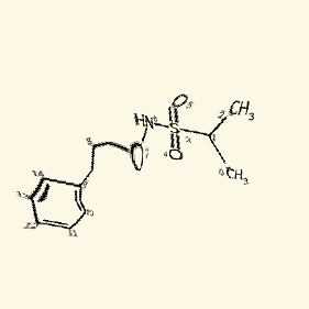 CC(C)S(=O)(=O)NOCc1ccccc1